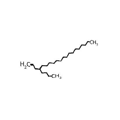 C=CCC(CCCC)CCCCCCCCCCCCCCCC